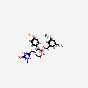 O=c1[nH]nc(CN2CCO[C@H](OCc3cc(C(F)(F)F)cc(C(F)(F)F)c3)[C@@H]2c2ccc(P)cc2)[nH]1